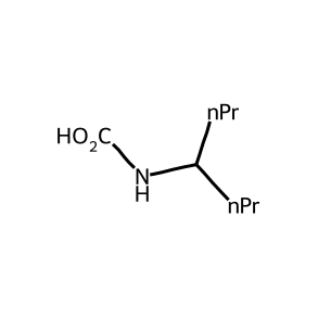 CCCC(CCC)NC(=O)O